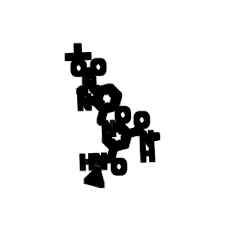 CNC(=O)c1cc(C(=O)NC2CC2)cn(Cc2cccc3c2ncn3C(=O)OC(C)(C)C)c1=O